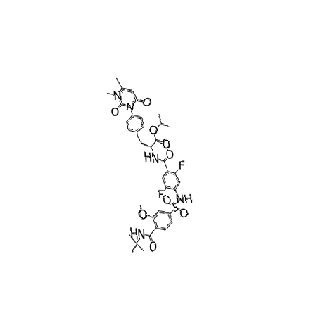 COc1cc(S(=O)(=O)Nc2cc(F)c(C(=O)N[C@@H](Cc3ccc(-n4c(=O)cc(C)n(C)c4=O)cc3)C(=O)OC(C)C)cc2F)ccc1C(=O)NC(C)(C)C